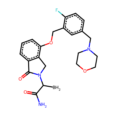 BC(C(N)=O)N1Cc2c(OCc3cc(CN4CCOCC4)ccc3F)cccc2C1=O